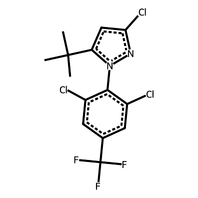 CC(C)(C)c1cc(Cl)nn1-c1c(Cl)cc(C(F)(F)F)cc1Cl